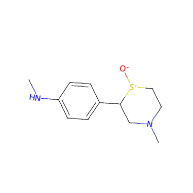 CNc1ccc(C2CN(C)CC[S+]2[O-])cc1